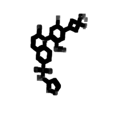 COC1=C(n2c(=O)ccc3cc(S(=O)(=O)Nc4ccon4)ccc32)CC(F)C(C2CC(F)(C(F)(F)F)C2)=C1